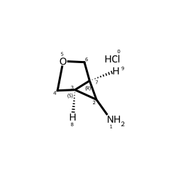 Cl.NC1[C@H]2COC[C@@H]12